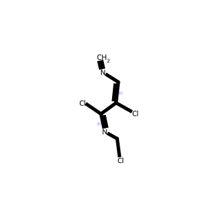 C=N/C=C(Cl)\C(Cl)=N/CCl